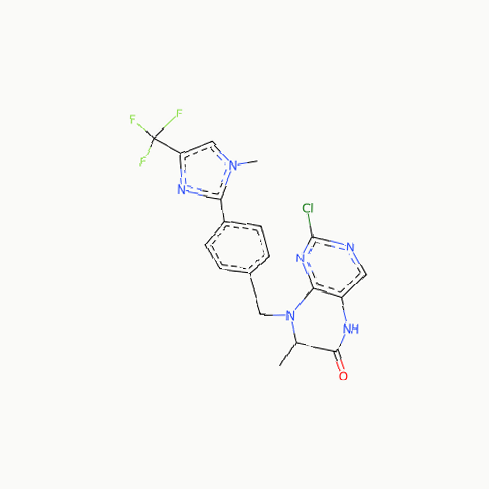 CC1C(=O)Nc2cnc(Cl)nc2N1Cc1ccc(-c2nc(C(F)(F)F)cn2C)cc1